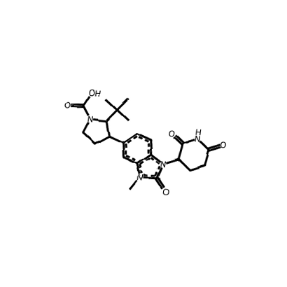 Cn1c(=O)n(C2CCC(=O)NC2=O)c2ccc(C3CCN(C(=O)O)C3C(C)(C)C)cc21